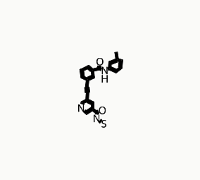 Cc1cccc(NC(=O)c2cccc(C#Cc3cncc(C(=O)N=S)c3)c2)c1